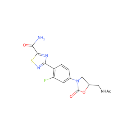 CC(=O)NCC1CN(c2ccc(-c3nsc(C(N)=O)n3)c(F)c2)C(=O)O1